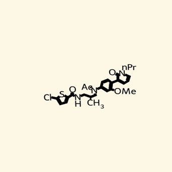 CCCn1cccc(-c2ccc(N(C[C@@H](C)CNC(=O)c3ccc(Cl)s3)C(C)=O)cc2OC)c1=O